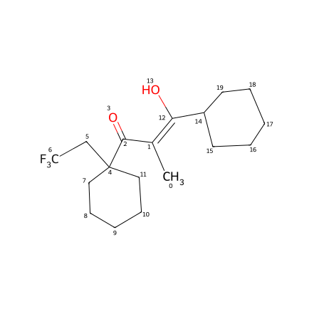 C/C(C(=O)C1(CC(F)(F)F)CCCCC1)=C(/O)C1CCCCC1